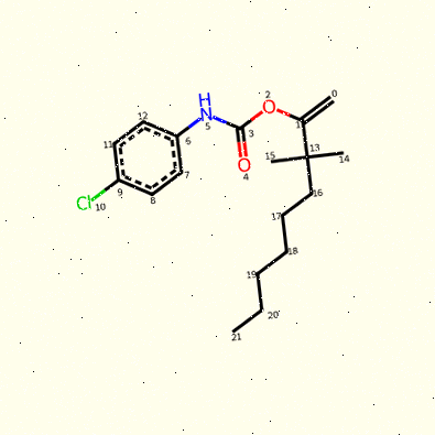 C=C(OC(=O)Nc1ccc(Cl)cc1)C(C)(C)CCCCCC